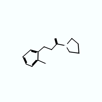 O=C(CCc1ccccc1F)N1CCCC1